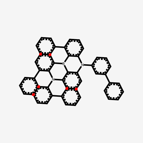 c1ccc(-c2cccc(N3c4cccc(-c5ccccc5)c4B4c5cccc(-c6ccccc6)c5N(c5ccccc5-c5ccccc5)c5cccc3c54)c2)cc1